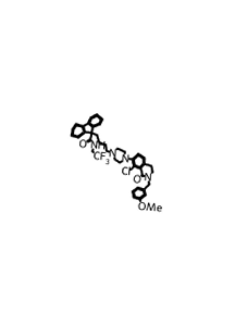 COc1cccc(CN2CCc3ccc(N4CCN(CCCCC5(C(=O)NCC(F)(F)F)c6ccccc6-c6ccccc65)CC4)c(Cl)c3C2=O)c1